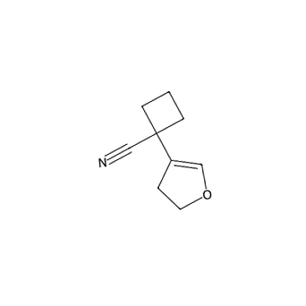 N#CC1(C2=COCC2)CCC1